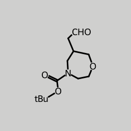 CC(C)(C)OC(=O)N1CCOCC(CC=O)C1